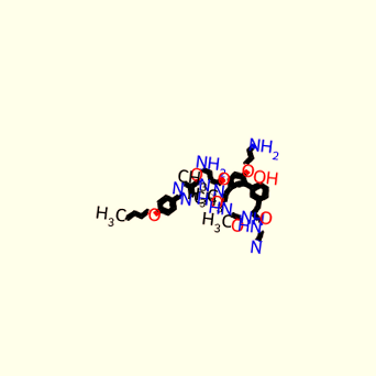 CCCCCOc1ccc(-c2nc(C)c(C(=O)NC(CCN)C(=O)N(C)C3C(=O)NC(C)C(=O)NC(C(=O)NCC#N)Cc4ccc(O)c(c4)-c4cc3ccc4OCCCN)c(C)n2)cc1